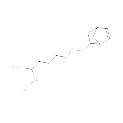 O=C=NC(CCCCNOC1CC2C=CC1C2)C(=O)O